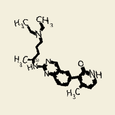 CCN(CC)CCC[C@H](C)Nc1ncc2cc(-c3c(C)cc[nH]c3=O)ccc2n1